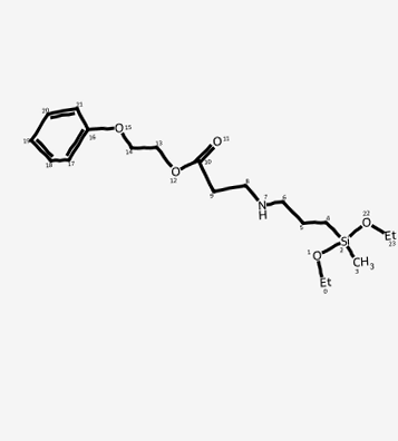 CCO[Si](C)(CCCNCCC(=O)OCCOc1ccccc1)OCC